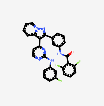 O=C(Nc1cccc(-c2nn3ccccc3c2-c2ccnc(Nc3cccc(F)c3)n2)c1)c1c(F)cccc1F